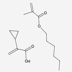 C=C(C(=O)O)C1CC1.C=C(C)C(=O)OCCCCCC